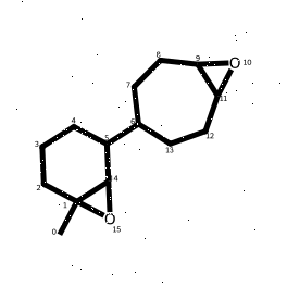 CC12CCCC(C3CCC4OC4CC3)C1O2